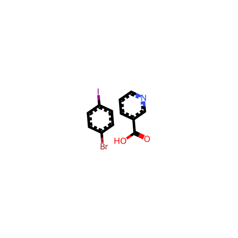 Brc1ccc(I)cc1.O=C(O)c1cccnc1